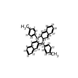 Cc1ccc(N2c3cc4ccccc4cc3N(c3ccc(C)cc3)C3C=c4ccccc4=CC32)cc1